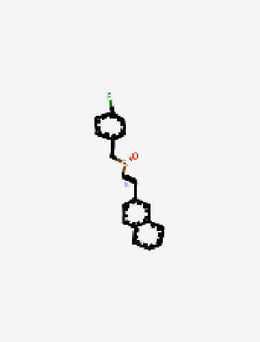 [O-][S+](/C=C/c1ccc2ccccc2c1)Cc1ccc(F)cc1